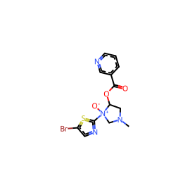 CN1CC(OC(=O)c2cccnc2)[N+]([O-])(c2ncc(Br)s2)C1